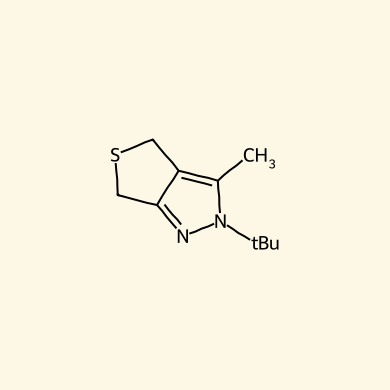 Cc1c2c(nn1C(C)(C)C)CSC2